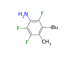 CCC(C)c1c(C)c(F)c(F)c(N)c1F